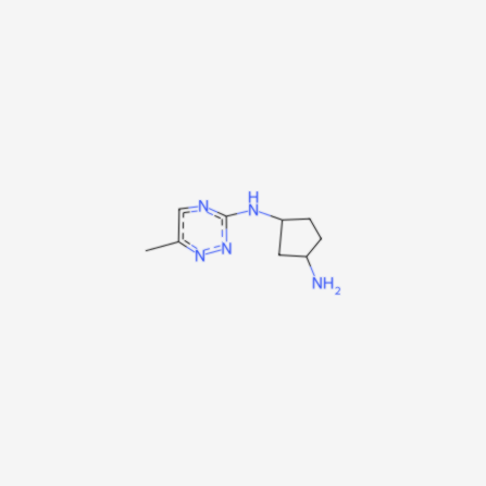 Cc1cnc(NC2CCC(N)C2)nn1